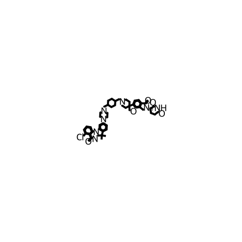 CC1(C)c2ccc(N3CCN(CC4CCC(CN5CCC6(CC5)COc5c6ccc6c5CN([C@H]5CCC(=O)NC5=O)C6=O)CC4)CC3)cc2-n2c1nc(=O)c1c(Cl)cccc12